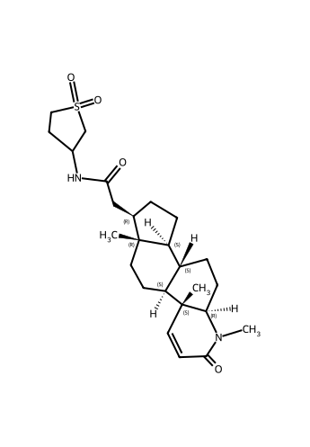 CN1C(=O)C=C[C@]2(C)[C@H]3CC[C@]4(C)[C@@H](CC(=O)NC5CCS(=O)(=O)C5)CC[C@H]4[C@@H]3CC[C@@H]12